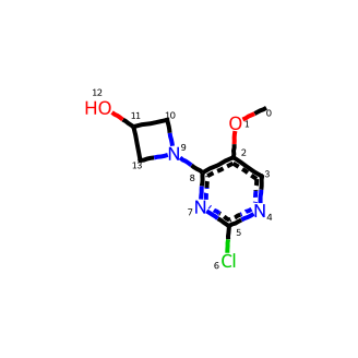 COc1cnc(Cl)nc1N1CC(O)C1